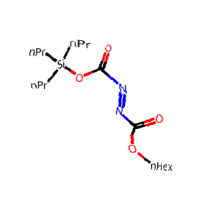 CCCCCCOC(=O)/N=N/C(=O)O[Si](CCC)(CCC)CCC